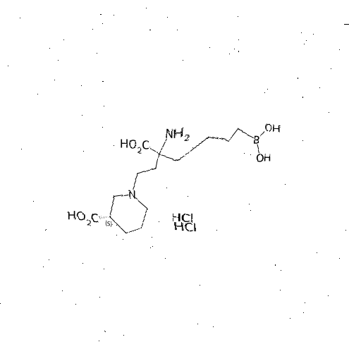 Cl.Cl.NC(CCCCB(O)O)(CCN1CCC[C@H](C(=O)O)C1)C(=O)O